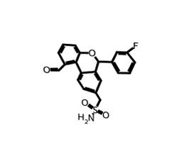 NS(=O)(=O)Cc1ccc2c(c1)C(c1cccc(F)c1)Oc1cccc(C=O)c1-2